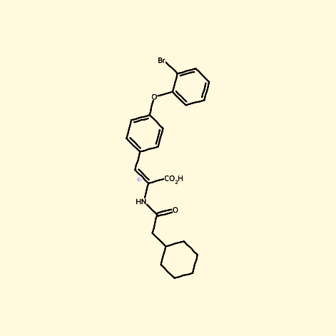 O=C(CC1CCCCC1)N/C(=C/c1ccc(Oc2ccccc2Br)cc1)C(=O)O